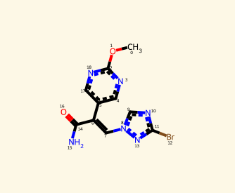 COc1ncc(/C(=C\n2cnc(Br)n2)C(N)=O)cn1